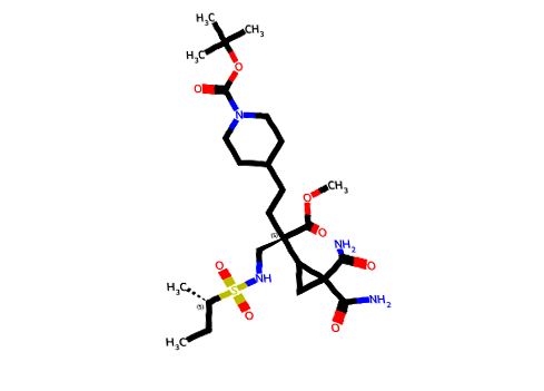 CC[C@H](C)S(=O)(=O)NC[C@@](CCC1CCN(C(=O)OC(C)(C)C)CC1)(C(=O)OC)C1CC1(C(N)=O)C(N)=O